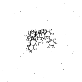 CCC[CH2][Hf]1([CH2]CCC)[CH]2C(CC)=C(CCC3=C(CC)[CH]1c1cccc(-c4ccccc4)c13)c1c(-c3ccccc3)cccc12